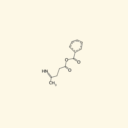 CC(=N)CCC(=O)OC(=O)c1ccccc1